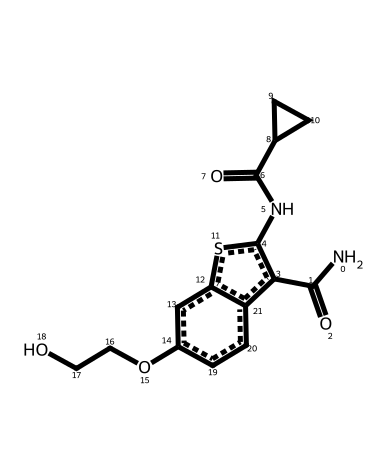 NC(=O)c1c(NC(=O)C2CC2)sc2cc(OCCO)ccc12